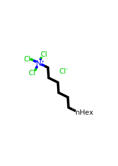 CCCCCCCCCCCC[N+](Cl)(Cl)Cl.[Cl-]